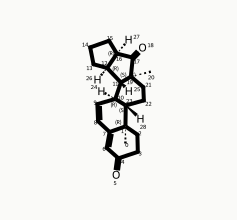 C[C@]12CCC(=O)C=C1C=C[C@H]1[C@@H]3[C@H]4CCC[C@H]4C(=O)[C@@]3(C)CC[C@@H]12